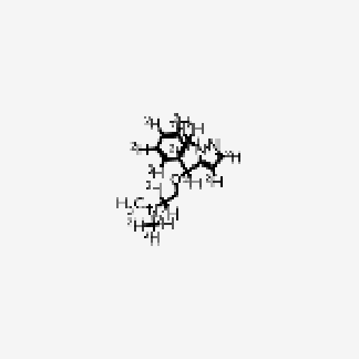 [2H]c1nn(C([2H])([2H])[2H])c(C([2H])(OCC([2H])([2H])N(C)C([2H])([2H])[2H])c2c([2H])c([2H])c([2H])c([2H])c2[2H])c1[2H]